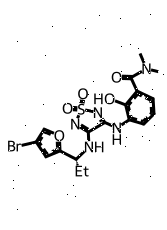 CC[C@@H](NC1=NS(=O)(=O)N=C1Nc1cccc(C(=O)N(C)C)c1O)c1cc(Br)co1